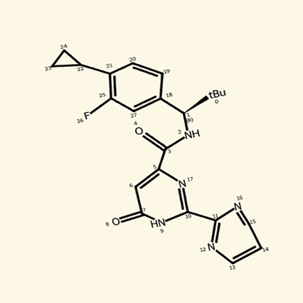 CC(C)(C)[C@@H](NC(=O)c1cc(=O)[nH]c(-c2ncccn2)n1)c1ccc(C2CC2)c(F)c1